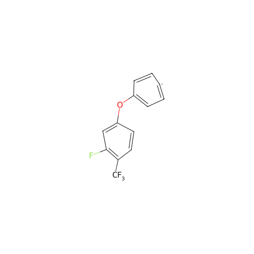 Fc1cc(Oc2cc[c]cc2)ccc1C(F)(F)F